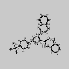 O=C(Nc1ccccc1Cl)c1nc(-c2ccc(C(F)(F)F)cc2)oc1-c1cnc2ccccc2n1